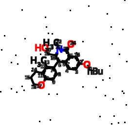 CCCCOc1ccc2c(-c3ccc4c(c3C)CCCO4)c(CO)n(C)c(=O)c2c1